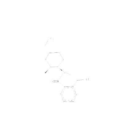 C[C@H]1C[C@H](CO)CC[C@H]1N(C)C(=O)c1ccccc1CO